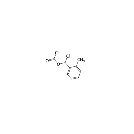 Cc1ccccc1C(Cl)OC(=O)Cl